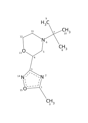 Cc1nc(C2CN(C(C)(C)C)CCO2)no1